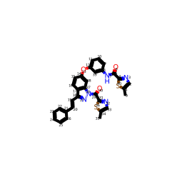 Cc1cnc(C(=O)Nc2cccc(Oc3ccc4c(C=Cc5ccccc5)nn(C(=O)c5ncc(C)s5)c4c3)c2)s1